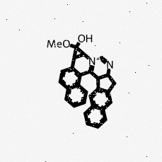 COC1(O)C2c3ccc4ccccc4c3C3=[N+](C=NC4Cc5cc6ccccc6cc5C34)C21